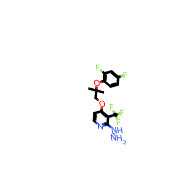 CC(C)(COc1ccnc(NN)c1C(F)(F)F)Oc1ccc(F)cc1F